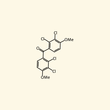 COc1ccc(C(=O)c2ccc(OC)c(Cl)c2Cl)c(Cl)c1Cl